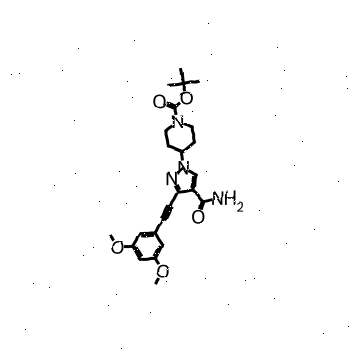 COc1cc(C#Cc2nn(C3CCN(C(=O)OC(C)(C)C)CC3)cc2C(N)=O)cc(OC)c1